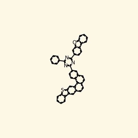 c1ccc(-c2nc(-c3ccc4c(ccc5ccc6cc7c(cc6c54)sc4ccccc47)c3)nc(-c3ccc4c(c3)oc3ccccc34)n2)cc1